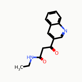 CCNC(=O)CC(=O)c1cnc2ccccc2c1